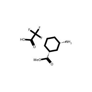 COC(=O)[C@@H]1CCC[C@H](N)C1.O=C(O)C(F)(F)F